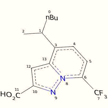 CCCCC(C)c1ccc(C(F)(F)F)n2nc(C(=O)O)cc12